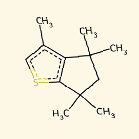 Cc1csc2c1C(C)(C)CC2(C)C